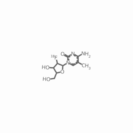 Cc1cn(C2OC(CO)C(O)C2[18F])c(=O)nc1N